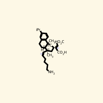 CC(C)c1ccc2c(c1)CC[C@H]1[C@](C)(/C=C\CCCCN)CCC[C@]21C.O=C(O)/C=C/C(=O)O